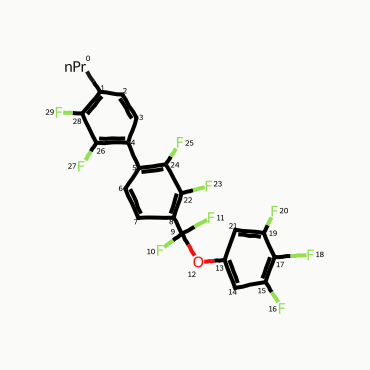 CCCc1ccc(-c2ccc(C(F)(F)Oc3cc(F)c(F)c(F)c3)c(F)c2F)c(F)c1F